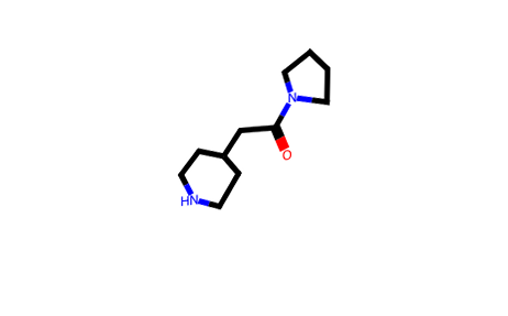 O=C(CC1CCNCC1)N1C[CH]CC1